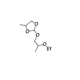 CCOC(C)COC1OCC(C)O1